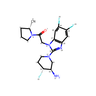 N#C[C@H]1CCCN1C(=O)Cn1c(N2CC[C@@H](F)[C@H](N)C2)nc2cc(F)c(F)cc21